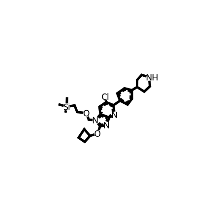 C[Si](C)(C)CCOCn1c(OC2CCC2)nc2nc(-c3ccc(C4CCNCC4)cc3)c(Cl)cc21